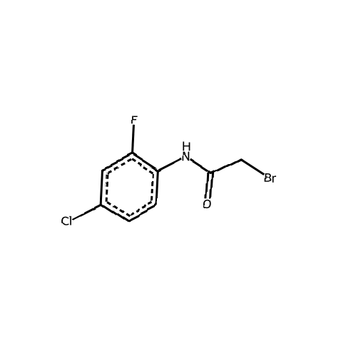 O=C(CBr)Nc1ccc(Cl)cc1F